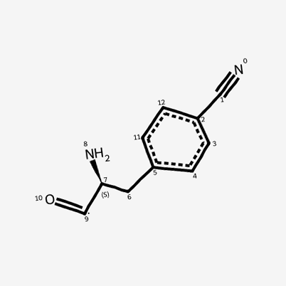 N#Cc1ccc(C[C@H](N)[C]=O)cc1